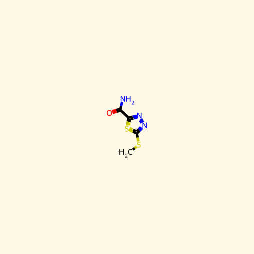 [CH2]Sc1nnc(C(N)=O)s1